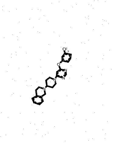 FC(F)(F)c1cccc(Oc2cc(N3CCC(N4CCc5ccccc5C4)CC3)ncn2)c1